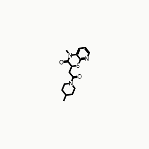 CC1CCN(C(=O)CC2Sc3ncccc3N(C)C2=O)CC1